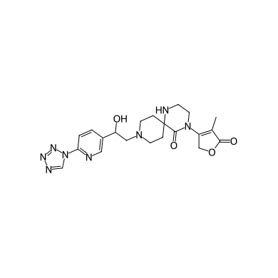 CC1=C(N2CCNC3(CCN(CC(O)c4ccc(-n5cnnn5)nc4)CC3)C2=O)COC1=O